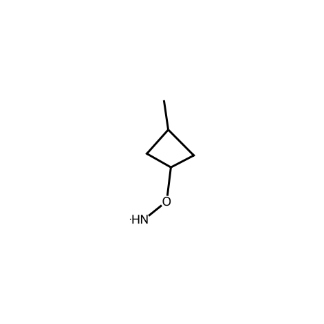 CC1CC(O[NH])C1